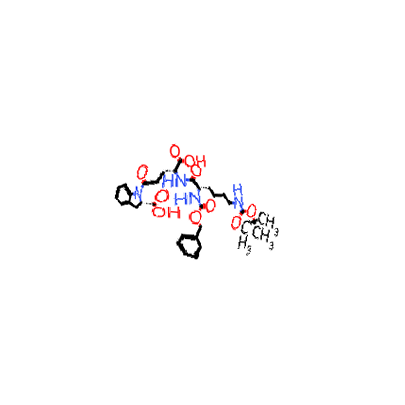 CC(C)(C)OC(=O)NCCCC[C@H](NC(=O)OCc1ccccc1)C(=O)N[C@H](CCC(=O)N1c2ccccc2C[C@H]1C(=O)O)C(=O)O